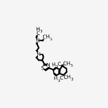 CCN(CC)CCCN1CCC(c2nc(-c3ccc4c(c3)C(C)(C)CCC4(C)C)cs2)CC1